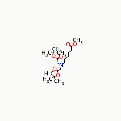 COC(=O)CCCCCN(CC(=O)OC(C)(C)C)CC(=O)OC(C)(C)C